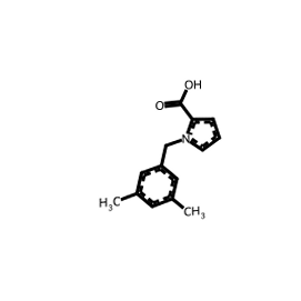 Cc1cc(C)cc(Cn2cccc2C(=O)O)c1